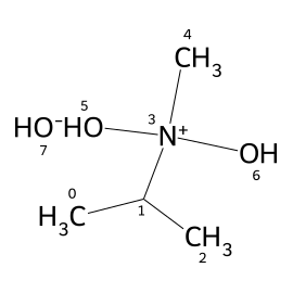 CC(C)[N+](C)(O)O.[OH-]